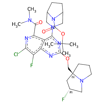 CN(C)C(=O)c1nc(Cl)c(F)c2nc(OC[C@@]34CCCN3C[C@H](F)C4)nc(N3CC4CCC(C3)N4C(=O)OC(C)(C)C)c12